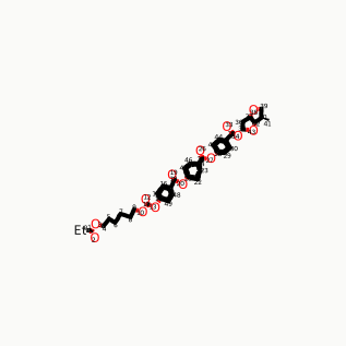 CCC(=O)OCCCCCCOC(=O)Oc1ccc(C(=O)Oc2ccc(C(=O)Oc3ccc(C(=O)O[C@@H]4CC5OC[C@@H](C)C5O4)cc3)cc2)cc1